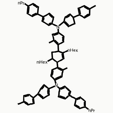 CCCCCCC1=CC(c2ccc(N(c3ccc(-c4ccc(C)cc4)cc3)c3ccc(-c4ccc(CCC)cc4)cc3)cc2C)C(CCCCCC)CC1c1ccc(N(C2=CCC(c3ccc(C)cc3)C=C2)c2ccc(-c3ccc(CCC)cc3)cc2)cc1C